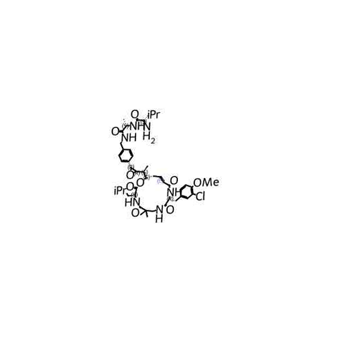 COc1ccc(C[C@H]2NC(=O)/C=C/C[C@@H]([C@H](C)[C@H]3O[C@@H]3c3ccc(CNC(=O)[C@H](C)NC(=O)[C@@H](N)C(C)C)cc3)OC(=O)[C@H](CC(C)C)NC(=O)C(C)(C)CNC2=O)cc1Cl